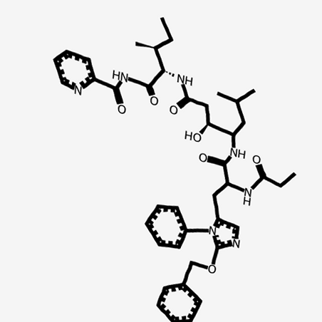 CCC(=O)NC(Cc1cnc(OCc2ccccc2)n1-c1ccccc1)C(=O)NC(CC(C)C)[C@@H](O)CC(=O)N[C@H](C(=O)NC(=O)c1ccccn1)[C@@H](C)CC